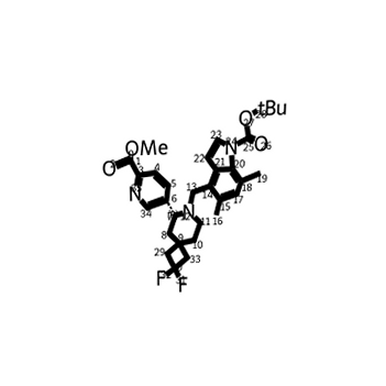 COC(=O)c1ccc([C@H]2CC3(CCN2Cc2c(C)cc(C)c4c2ccn4C(=O)OC(C)(C)C)CC(F)(F)C3)cn1